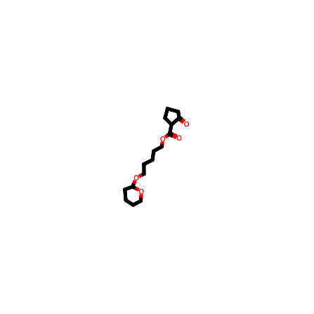 O=C1CCCC1C(=O)OCCCCCOC1CCCCO1